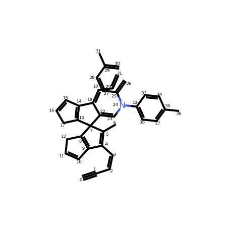 C#C/C=C\C1=C(C)C2(C3=C1C=CC3)C1=C(C=CC1)C(=C/C=C)/C2=C\N(C(=C)/C=C\C(=C)C)c1ccc(C)cc1